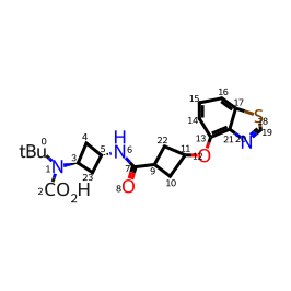 CC(C)(C)N(C(=O)O)[C@H]1C[C@H](NC(=O)C2CC(Oc3cccc4scnc34)C2)C1